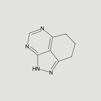 c1nc2c3c(n[nH]c3n1)CCC2